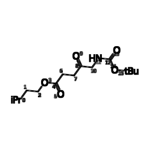 CC(C)CCOC(=O)CCC(=O)CNC(=O)OC(C)(C)C